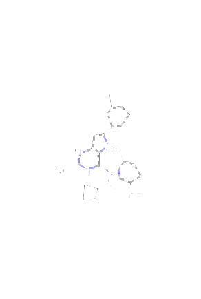 Cc1cccc(-c2cc3nc(C#N)nc(NC(C)C4CCC4)c3n2Cc2ccc(C(F)(F)F)cc2)c1